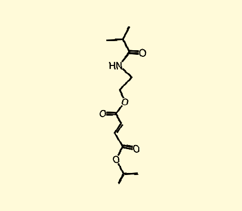 CC(C)OC(=O)C=CC(=O)OCCNC(=O)C(C)C